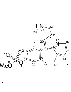 COS(=O)(=O)Oc1ccc2c(c1)CCc1cccnc1C2=C1CCNCC1